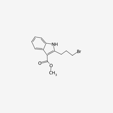 COC(=O)c1c(CCCBr)[nH]c2ccccc12